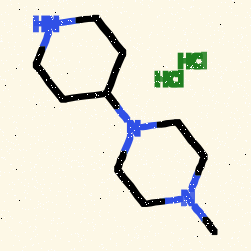 CN1CCN(C2CCNCC2)CC1.Cl.Cl